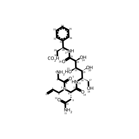 C=CCN(C(=O)CN)[C@@H](CC(N)=O)C(=O)N[C@@H](CO)[C@@H](O)[C@@H](O)[C@H](O)C(=O)N[C@@H](CC(=O)O)c1ccccc1